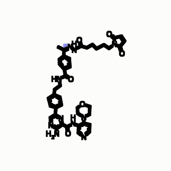 C/C(=N/NC(=O)CCCCCN1C(=O)C=CC1=O)c1ccc(C(=O)NCCc2ccc(-c3cnc(N)c(C(=O)Nc4cnccc4N4CCOCC4)n3)cc2)cc1